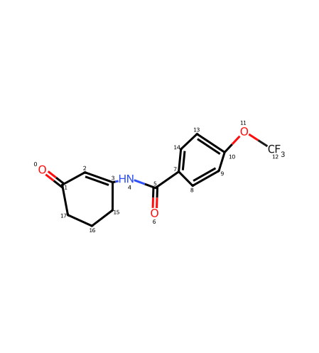 O=C1C=C(NC(=O)c2ccc(OC(F)(F)F)cc2)CCC1